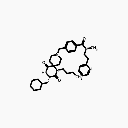 CCCCN1C(=O)[C@H](CC2CCCCC2)NC(=O)C12CCN(Cc1ccc(C(=O)N(C)CCc3ccccn3)cc1)CC2